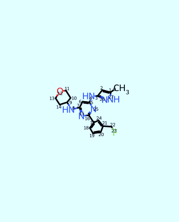 Cc1cc(Nc2cc(NC3CCOCC3)nc(-c3cccc(CF)c3)n2)n[nH]1